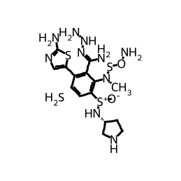 CN(SON)c1c([S+]([O-])N[C@@H]2CCNC2)ccc(-c2cnc(N)s2)c1/C(N)=N/NN.S